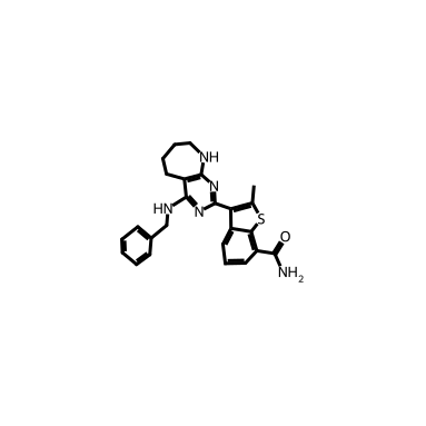 Cc1sc2c(C(N)=O)cccc2c1-c1nc2c(c(NCc3ccccc3)n1)CCCCN2